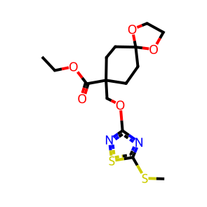 CCOC(=O)C1(COc2nsc(SC)n2)CCC2(CC1)OCCO2